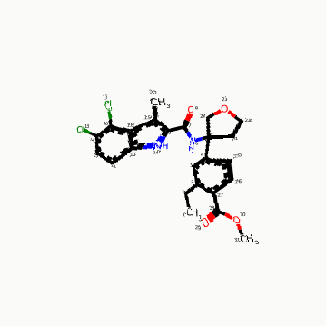 CCc1cc(C2(NC(=O)c3[nH]c4ccc(Cl)c(Cl)c4c3C)CCOC2)ccc1C(=O)OC